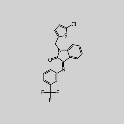 O=C1/C(=N\c2cccc(C(F)(F)F)c2)c2ccccc2N1Cc1ccc(Cl)s1